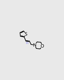 C(=C\c1cccs1)/CN1CCOCC1